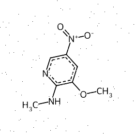 CNc1ncc([N+](=O)[O-])cc1OC